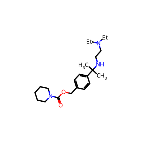 CCN(CC)CCNC(C)(C)c1ccc(COC(=O)N2CCCCC2)cc1